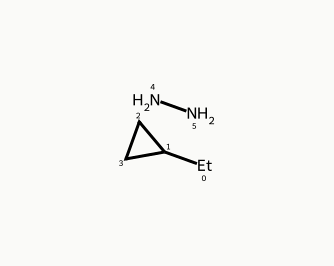 CCC1CC1.NN